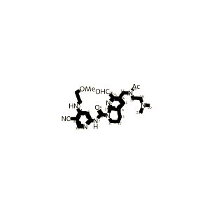 COCCNc1cc(NC(=O)N2CCCc3cc(CN(CCN(C)C)C(C)=O)c(C=O)nc32)ncc1C#N